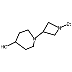 CCN1CC(N2CCC(O)CC2)C1